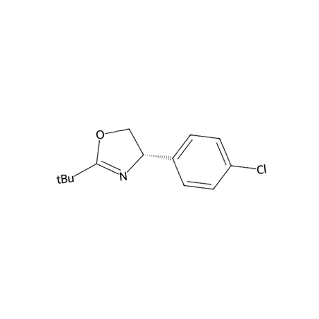 CC(C)(C)C1=N[C@@H](c2ccc(Cl)cc2)CO1